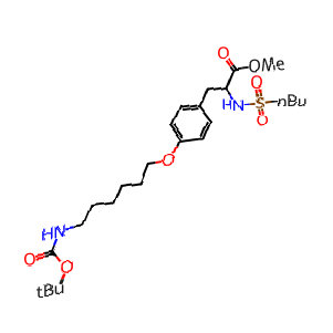 CCCCS(=O)(=O)NC(Cc1ccc(OCCCCCCNC(=O)OC(C)(C)C)cc1)C(=O)OC